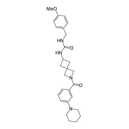 COc1ccc(CNC(=O)NC2CC3(C2)CN(C(=O)c2cccc(N4CCCCC4)c2)C3)cc1